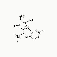 CCC[C@@H]1C(=O)N2C(N(C)C)=Nc3ccc(C)cc3N2C1=O